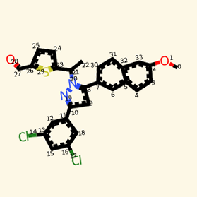 COc1ccc2cc(-c3cc(-c4cc(Cl)cc(Cl)c4)nn3C(C)c3ccc(C=O)s3)ccc2c1